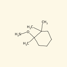 CC1(C)CCCCC1(C)O[SiH3]